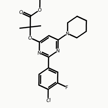 COC(=O)C(C)(C)Oc1cc(N2CCCCC2)nc(-c2ccc(Cl)c(F)c2)n1